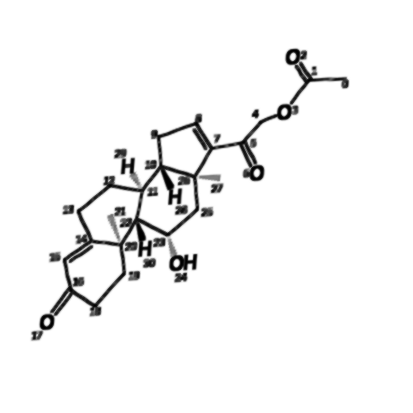 CC(=O)OCC(=O)C1=CC[C@H]2[C@@H]3CCC4=CC(=O)CC[C@]4(C)[C@H]3[C@@H](O)C[C@]12C